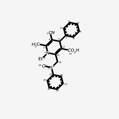 CCN1C(C)=C(C#N)C(c2ccccc2)C(C(=O)O)=C1C[S+]([O-])c1ccccc1